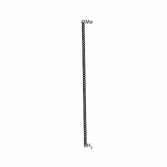 BB=BB=BB=BB=BB=BB=BB=BB=BB=BB=BB=BB=BB=BB=BB=BB=BB=BB=BB=BB=BB=BB=BB=BB=BB=BB=BB=BB=BB=BB=BB=BOC